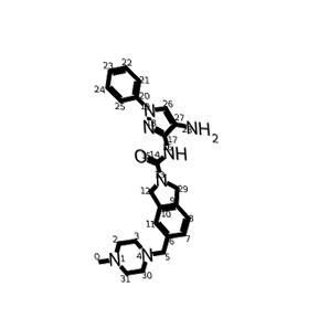 CN1CCN(Cc2ccc3c(c2)CN(C(=O)Nc2nn(-c4ccccc4)cc2N)C3)CC1